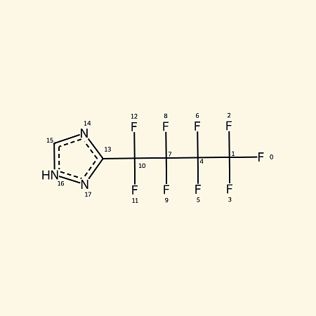 FC(F)(F)C(F)(F)C(F)(F)C(F)(F)c1nc[nH]n1